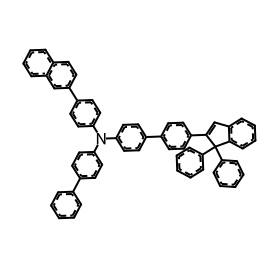 C1=C(c2ccc(-c3ccc(N(c4ccc(-c5ccccc5)cc4)c4ccc(-c5ccc6ccccc6c5)cc4)cc3)cc2)C(c2ccccc2)(c2ccccc2)c2ccccc21